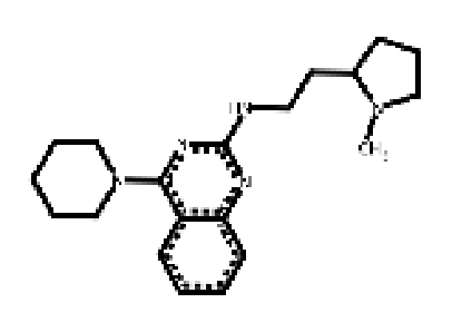 CN1CCCC1CCNc1nc(N2CCCCC2)c2ccccc2n1